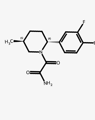 C[C@H]1CC[C@H](c2ccc(F)c(F)c2)N(C(=O)C(N)=O)C1